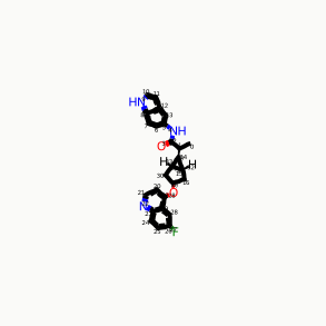 CC(C(=O)Nc1ccc2[nH]ccc2c1)[C@H]1[C@@H]2C[C@@H](Oc3ccnc4ccc(F)cc34)C[C@@H]21